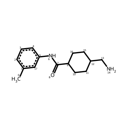 Cc1cccc(NC(=O)C2CCC(CN)CC2)c1